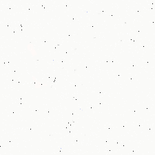 O=C1COc2cc(Nc3ccncc3)ccc2N1CCc1c[nH]c2ccccc12